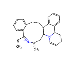 C=C/C1=N/C(=C)CC2C(CCc3ccccc31)c1ccccc1C1C=CC=CN12